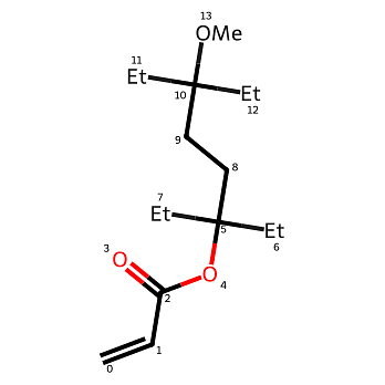 C=CC(=O)OC(CC)(CC)CCC(CC)(CC)OC